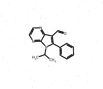 CC(C)n1c(-c2ccccc2)c(C=O)c2nccnc21